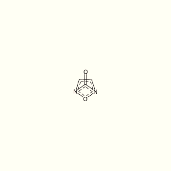 O=c1n2ccn1o2